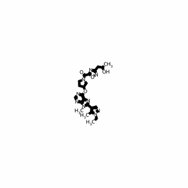 CCn1ncc(-c2nc3c(OC4CCN(C(=O)c5nc(CC(C)O)no5)C4)ncnc3n2C)c1C